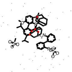 COc1ccc(OC)c(P(C23CC4CC(CC(C4)C2)C3)C23CC4CC(CC(C4)C2)C3)c1-c1c(C(C)C)cc(C(C)C)cc1C(C)C.CS(=O)(=O)[O-].CS(=O)(=O)[O-].Nc1ccccc1-c1cccc[c]1[Pd+2]